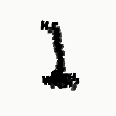 CCCCCCCCCCCCCCCCCCC(C)(C(=O)O)N(C)C